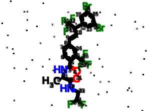 C[C@@H](NC(=O)c1ccc(/C=C/C(c2cc(Br)cc(Br)c2)C(F)(F)F)cc1C(F)(F)F)C(=O)NCC(F)F